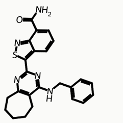 NC(=O)c1cccc2c(-c3nc4c(c(NCc5ccccc5)n3)CCCCC4)snc12